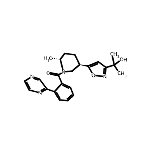 C[C@@H]1CC[C@@H](c2cc(C(C)(C)O)no2)CN1C(=O)c1ccccc1-c1cnccn1